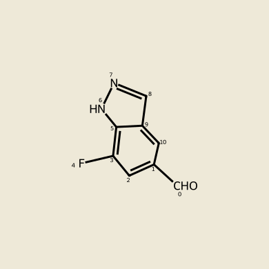 O=Cc1cc(F)c2[nH]ncc2c1